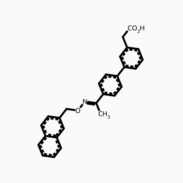 C/C(=N\OCc1ccc2ccccc2c1)c1ccc(-c2cccc(CC(=O)O)c2)cc1